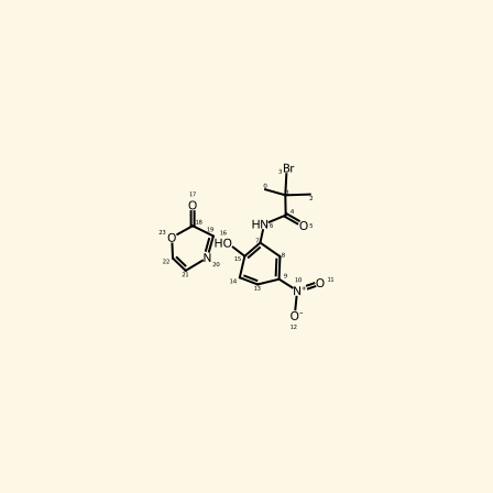 CC(C)(Br)C(=O)Nc1cc([N+](=O)[O-])ccc1O.O=c1cncco1